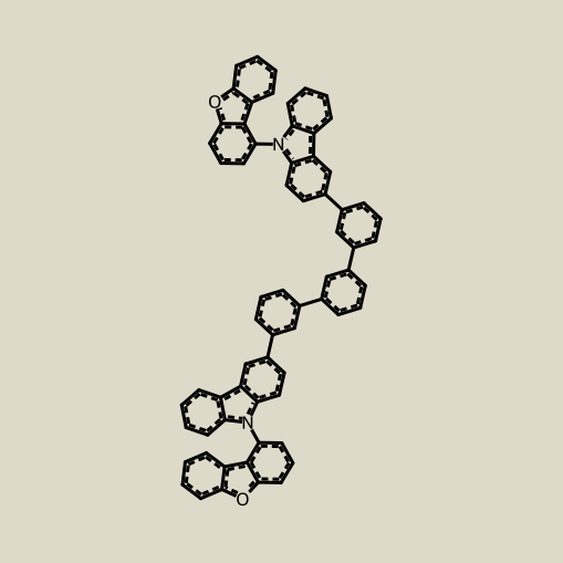 c1cc(-c2cccc(-c3ccc4c(c3)c3ccccc3n4-c3cccc4oc5ccccc5c34)c2)cc(-c2cccc(-c3ccc4c(c3)c3ccccc3n4-c3cccc4oc5ccccc5c34)c2)c1